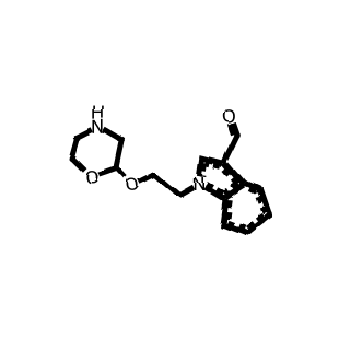 O=Cc1cn(CCOC2CNCCO2)c2ccccc12